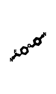 N#CC(F)=C[C@H]1CC[C@H](OCc2ccc(C#N)cc2)CC1